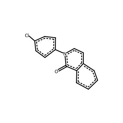 O=c1c2ccccc2ccn1-c1ccc(Cl)cc1